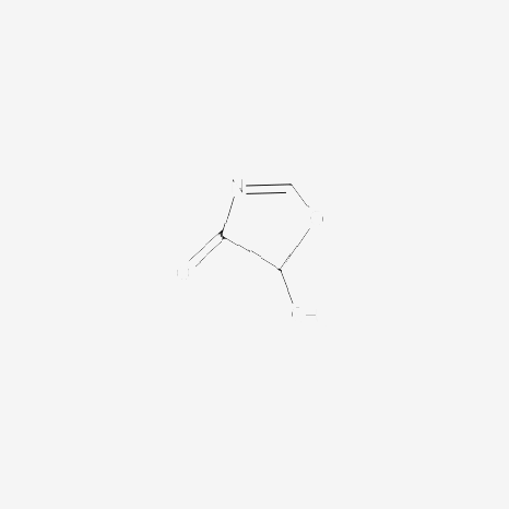 CC1O[C]=NC1=O